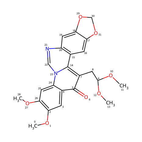 COc1cc2c(=O)c(CC(OC)OC)c3c4cc5c(cc4ncn3c2cc1OC)OCO5